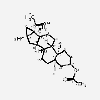 CC(=O)O[C@@H]1CC[C@H]2[C@H](CC[C@@H]3[C@@H]2CC[C@@]2(C)[C@H]3C[C@H]3C[C@]32C(C)=O)C1